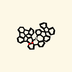 C1=C2c3cccc4c3C3(c5cc(N(c6ccccc6-c6ccccc6)c6cccc7c6-c6ccccc6C76c7ccccc7-c7ccccc76)ccc5-4)c4ccccc4C(CC1)C23